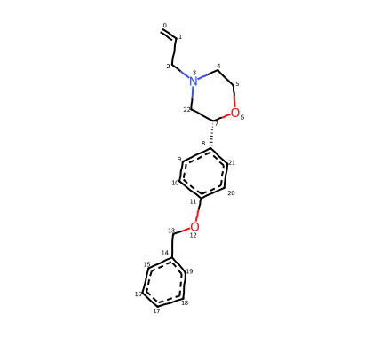 C=CCN1CCO[C@H](c2ccc(OCc3ccccc3)cc2)C1